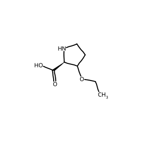 CCOC1CCN[C@@H]1C(=O)O